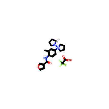 Cc1cc([N+]2(N3CCC[C@@H]3C)CCCC2)ccc1NC(=O)c1ccoc1.O=C(O)C(F)(F)F